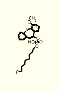 COc1cccc2c1Sc1ccccc1C=C2OP(=O)(O)OCCCCCCCCF